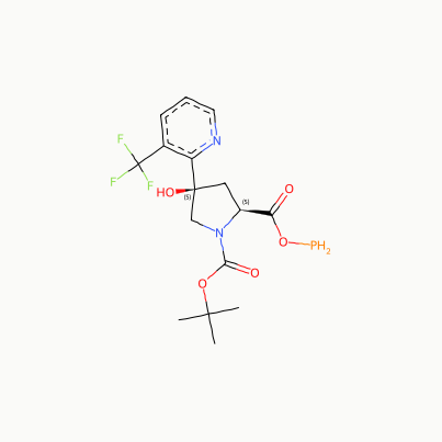 CC(C)(C)OC(=O)N1C[C@](O)(c2ncccc2C(F)(F)F)C[C@H]1C(=O)OP